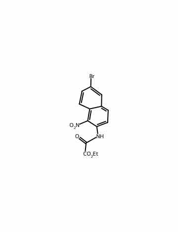 CCOC(=O)C(=O)Nc1ccc2cc(Br)ccc2c1[N+](=O)[O-]